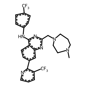 CN1CCCN(Cc2nc(Nc3ccc(C(F)(F)F)cc3)c3ccc(-c4ncccc4C(F)(F)F)cc3n2)CC1